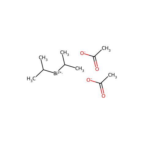 CC(=O)[O-].CC(=O)[O-].C[CH](C)[Bi+2][CH](C)C